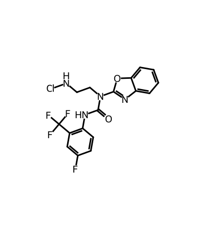 O=C(Nc1ccc(F)cc1C(F)(F)F)N(CCNCl)c1nc2ccccc2o1